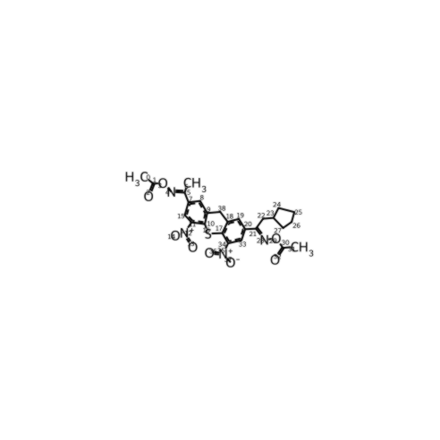 CC(=O)O/N=C(\C)c1cc2c(c([N+](=O)[O-])c1)Sc1c(cc(/C(CC3CCCC3)=N/OC(C)=O)cc1[N+](=O)[O-])C2